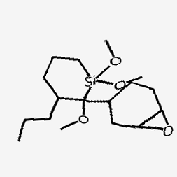 CCCC1CCC[Si](OC)(OC)C1(OC)C1CCC2OC2C1